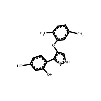 Cc1ccc(C)c(Oc2c[nH]nc2-c2ccc(O)cc2O)c1